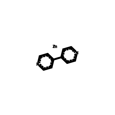 [Zn].c1cc(-c2ccncc2)ccn1